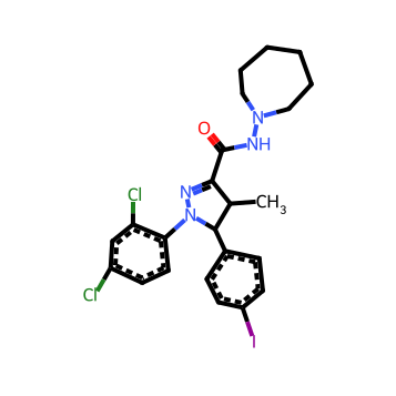 CC1C(C(=O)NN2CCCCCC2)=NN(c2ccc(Cl)cc2Cl)C1c1ccc(I)cc1